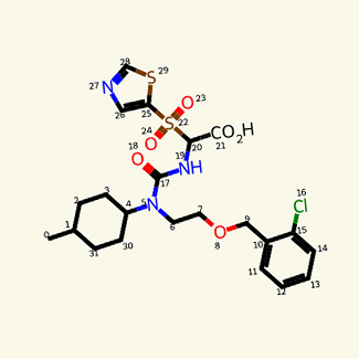 CC1CCC(N(CCOCc2ccccc2Cl)C(=O)NC(C(=O)O)S(=O)(=O)c2cncs2)CC1